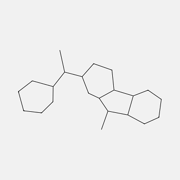 CC(C1CCCCC1)C1CCC2C(C1)C(C)C1CCCCC12